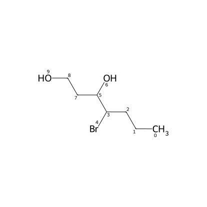 CCCC(Br)C(O)CCO